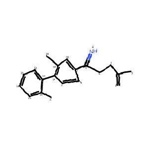 C=C(C)CCC(=N)c1ccc(-c2ccccc2C)c(C)c1